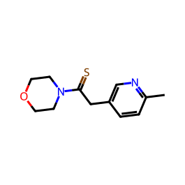 Cc1ccc(CC(=S)N2CCOCC2)cn1